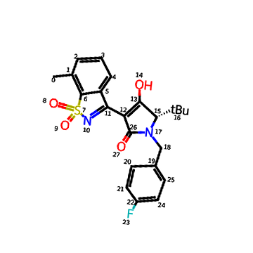 Cc1cccc2c1S(=O)(=O)N=C2C1=C(O)[C@H](C(C)(C)C)N(Cc2ccc(F)cc2)C1=O